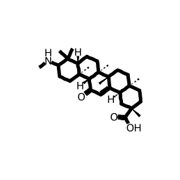 CNC1CC[C@]2(C)[C@H]3C(=O)C=C4[C@@H]5C[C@@](C)(C(=O)O)CC[C@]5(C)CC[C@@]4(C)[C@]3(C)CC[C@H]2C1(C)C